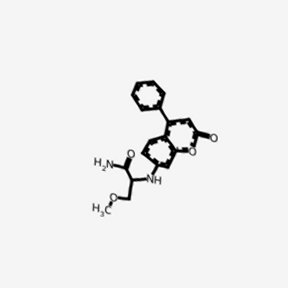 COCC(Nc1ccc2c(-c3ccccc3)cc(=O)oc2c1)C(N)=O